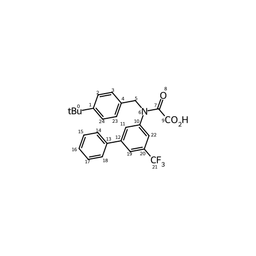 CC(C)(C)c1ccc(CN(C(=O)C(=O)O)c2cc(-c3ccccc3)cc(C(F)(F)F)c2)cc1